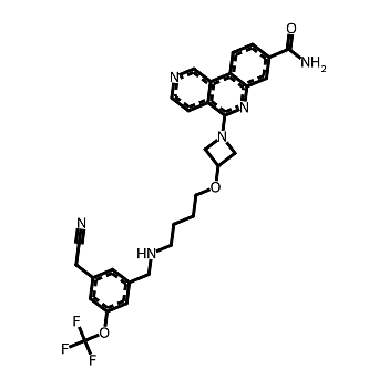 N#CCc1cc(CNCCCCOC2CN(c3nc4cc(C(N)=O)ccc4c4cnccc34)C2)cc(OC(F)(F)F)c1